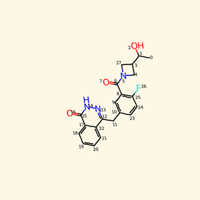 CC(O)C1CN(C(=O)c2cc(Cc3n[nH]c(=O)c4ccccc34)ccc2F)C1